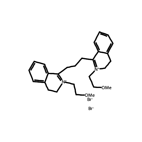 COCC[N+]1=C(CCCC2=[N+](CCOC)CCc3ccccc32)c2ccccc2CC1.[Br-].[Br-]